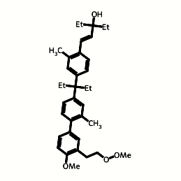 CCC(O)(/C=C/c1ccc(C(CC)(CC)c2ccc(-c3ccc(OC)c(CCOOC)c3)c(C)c2)cc1C)CC